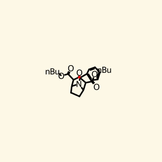 CCCCOC(=O)C1C(=O)C(C(=O)OCCCC)C2CCC1N2Cc1ccccc1